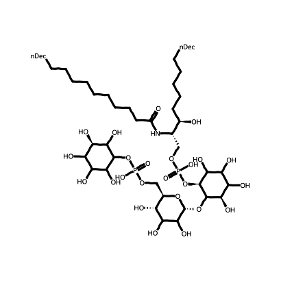 CCCCCCCCCCCCCCCCCCCC(=O)N[C@@H](COP(=O)(O)O[C@H]1C(O)C(O)C(O)[C@@H](O)C1O[C@H]1O[C@H](COP(=O)(O)OC2C(O)C(O)C(O)[C@@H](O)C2O)[C@@H](O)C(O)C1O)[C@H](O)CCCCCCCCCCCCCCC